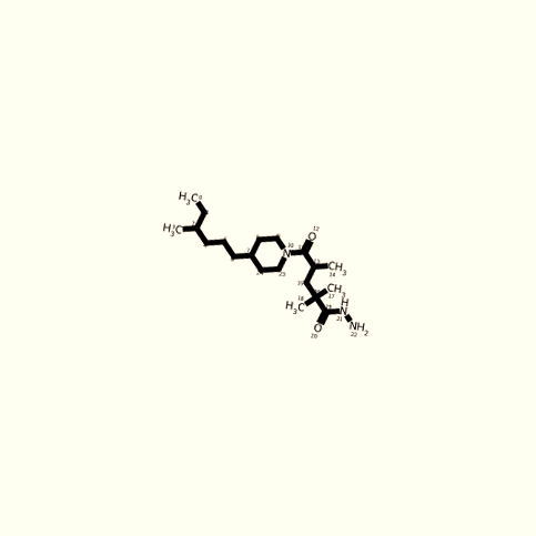 CCC(C)CCCC1CCN(C(=O)C(C)CC(C)(C)C(=O)NN)CC1